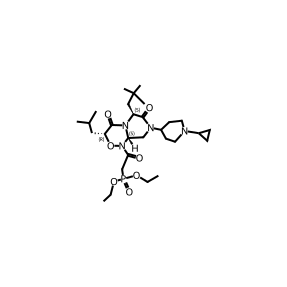 CCOP(=O)(CC(=O)N1O[C@H](CC(C)C)C(=O)N2[C@@H]1CN(C1CCN(C3CC3)CC1)C(=O)[C@@H]2CC(C)(C)C)OCC